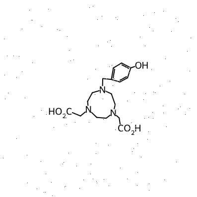 O=C(O)CN1CCN(CC(=O)O)CCN(Cc2ccc(O)cc2)CC1